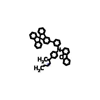 C=C/C=C\C(=C)c1ccc(N(c2cccc(-c3ccc4c(c3)-c3ccccc3C43c4ccccc4-c4ccccc43)c2)c2cccc3c2oc2ccccc23)cc1